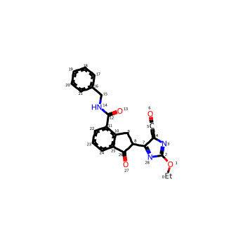 CCOC1=NC(=C=O)C(C2Cc3c(C(=O)NCc4ccccc4)cccc3C2=O)=N1